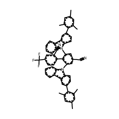 Cc1cc(C)c(-c2ccc3c(c2)c2ccccc2n3-c2cc(C#N)cc(-n3c4ccccc4c4cc(-c5c(C)cc(C)cc5C)ccc43)c2-c2ccc(C(F)(F)F)cc2C#N)c(C)c1